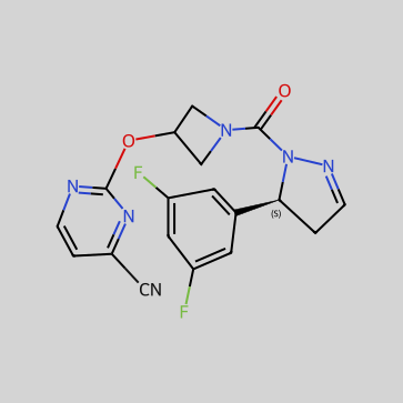 N#Cc1ccnc(OC2CN(C(=O)N3N=CC[C@H]3c3cc(F)cc(F)c3)C2)n1